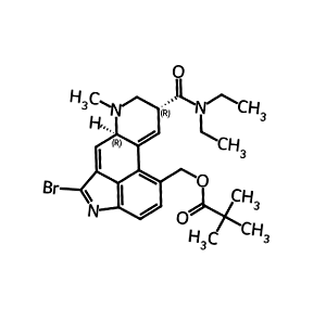 CCN(CC)C(=O)[C@@H]1C=C2c3c(COC(=O)C(C)(C)C)ccc4c3C(=C[C@H]2N(C)C1)C(Br)=N4